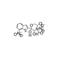 O=C[N+]1([N+](=O)[O-])C(Cl)COC(O)(c2cc3cccc([N+](=O)[O-])c3s2)C1O